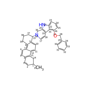 CC1C=Cc2ccc3c4c(ccc3c2C1)C(N1C=Cc2c([nH]c3c[c]cc(OCc5ccccc5)c23)C1)CCC4